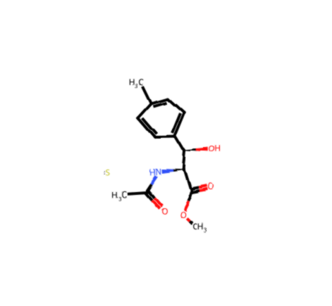 COC(=O)[C@@H](NC(C)=O)[C@H](O)c1ccc(C)cc1.[S]